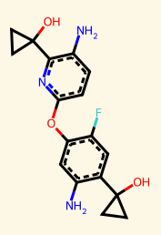 Nc1cc(Oc2ccc(N)c(C3(O)CC3)n2)c(F)cc1C1(O)CC1